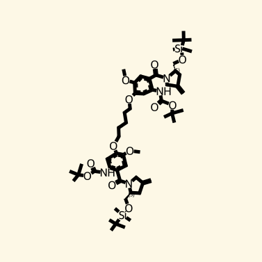 C=C1C[C@@H](CO[Si](C)(C)C(C)(C)C)N(C(=O)c2cc(OC)c(OCCCCCOc3cc(NC(=O)OC(C)(C)C)c(C(=O)N4CC(=C)C[C@H]4CO[Si](C)(C)C(C)(C)C)cc3OC)cc2NC(=O)OC(C)(C)C)C1